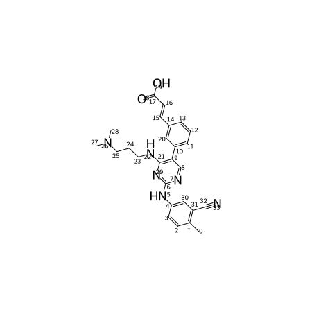 Cc1ccc(Nc2ncc(-c3cccc(C=CC(=O)O)c3)c(NCCCN(C)C)n2)cc1C#N